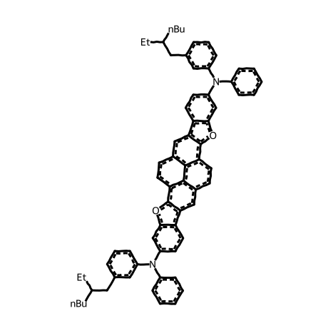 CCCCC(CC)Cc1cccc(N(c2ccccc2)c2ccc3c(c2)oc2c3cc3ccc4c5oc6cc(N(c7ccccc7)c7cccc(CC(CC)CCCC)c7)ccc6c5cc5ccc2c3c54)c1